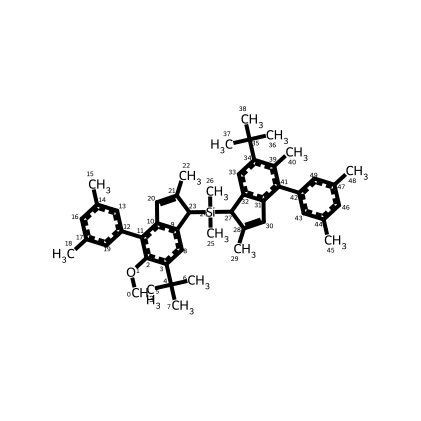 COc1c(C(C)(C)C)cc2c(c1-c1cc(C)cc(C)c1)C=C(C)C2[Si](C)(C)C1C(C)=Cc2c1cc(C(C)(C)C)c(C)c2-c1cc(C)cc(C)c1